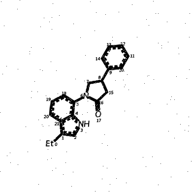 CCc1c[nH]c2c(N3CC(c4ccccc4)CC3=O)cccc12